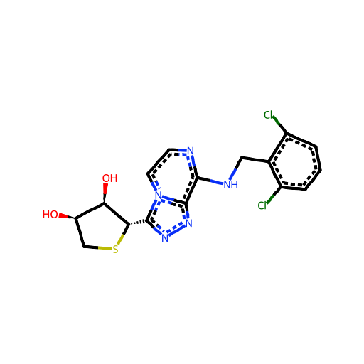 O[C@@H]1[C@H](O)CS[C@H]1c1nnc2c(NCc3c(Cl)cccc3Cl)nccn12